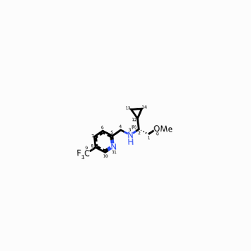 COC[C@H](NCc1ccc(C(F)(F)F)cn1)C1CC1